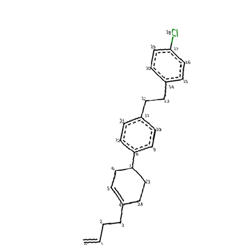 C=CCCC1=CCC(c2ccc(CCc3ccc(Cl)cc3)cc2)CC1